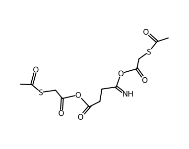 CC(=O)SCC(=O)OC(=N)CCC(=O)OC(=O)CSC(C)=O